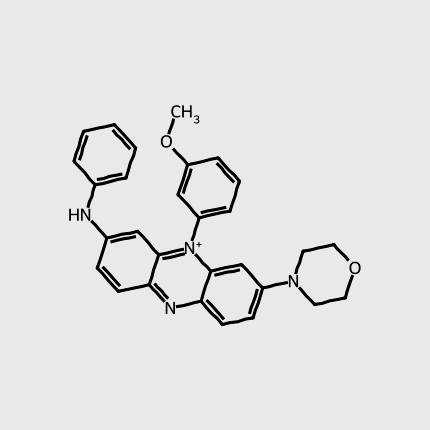 COc1cccc(-[n+]2c3cc(Nc4ccccc4)ccc3nc3ccc(N4CCOCC4)cc32)c1